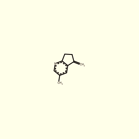 C=C1CCc2ncc(C)cc21